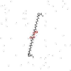 CCCCCCCCCCCCCC(=O)O[CH]COC(=O)CCCCCCCCCCCCC